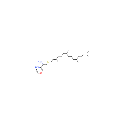 C/C(=C\CSCC(N)C1=COC=CN1)CCCC(C)CCCC(C)CCCC(C)C